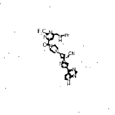 CC(C)NCc1cc(C(=O)N2CCN([C@H]3C[C@@](CC#N)(n4cc(-c5ncnc6[nH]ccc56)cn4)C3)CC2)nc(C(F)(F)F)n1